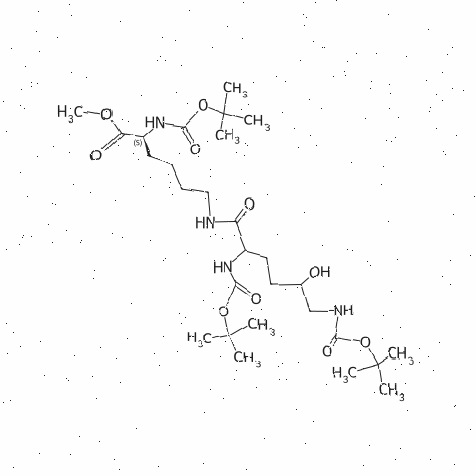 COC(=O)[C@H](CCCCNC(=O)C(CCC(O)CNC(=O)OC(C)(C)C)NC(=O)OC(C)(C)C)NC(=O)OC(C)(C)C